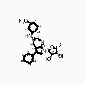 C[C@H]1O[C@@H](n2cc(-c3ccccc3)c3c2N=CN(Nc2cccc(C(F)(F)F)c2)C3)[C@H](O)[C@@H]1O